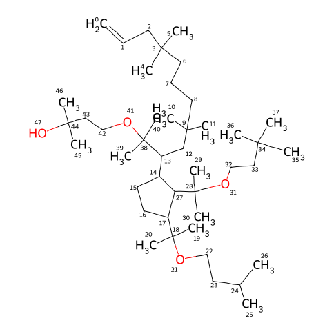 C=CCC(C)(C)CCCC(C)(C)CC(C1CCC(C(C)(C)OCCC(C)C)C1C(C)(C)OCCC(C)(C)C)C(C)(C)OCCC(C)(C)O